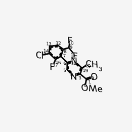 COC(=O)c1ncc(-c2c(C(F)F)ccc(Cl)c2F)nc1C